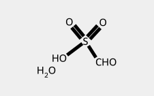 O.O=CS(=O)(=O)O